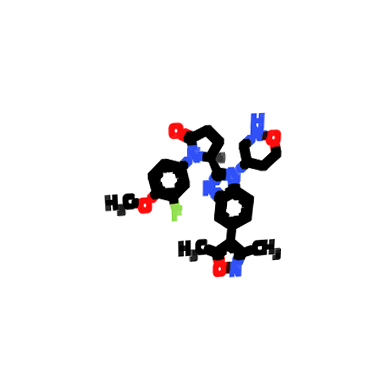 COc1ccc(N2C(=O)CC[C@H]2c2nc3cc(-c4c(C)noc4C)ccc3n2C2CCONC2)cc1F